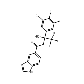 O=C(CC(O)(c1cc(Cl)c(Cl)c(Cl)c1)C(F)(F)F)c1ccc2[nH]ccc2c1